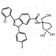 O=C(NC1(CO)CCS(O)(O)C1)c1ccc2c(-c3ccccc3Cl)nn(-c3ccc(F)cc3)c2c1